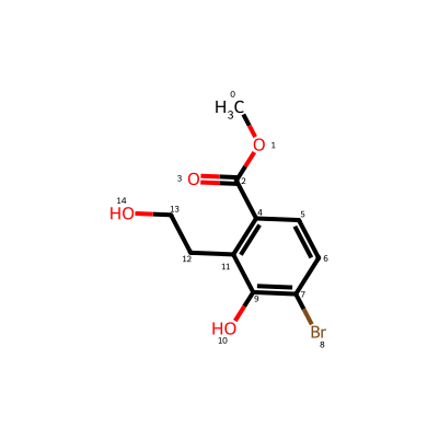 COC(=O)c1ccc(Br)c(O)c1CCO